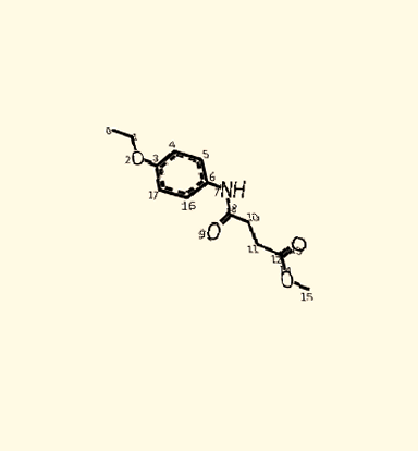 CCOc1ccc(NC(=O)CCC(=O)OC)cc1